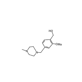 COc1cc(CN2CCN(C)CC2)ccc1CO